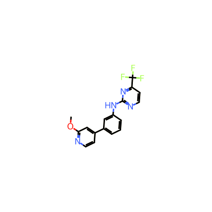 COc1cc(-c2cccc(Nc3nccc(C(F)(F)F)n3)c2)ccn1